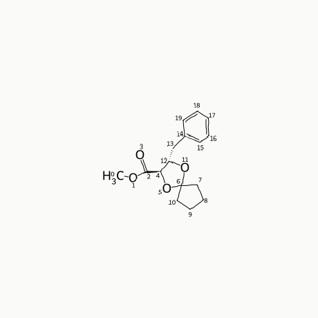 COC(=O)[C@@H]1OC2(CCCC2)O[C@H]1Cc1ccccc1